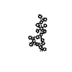 Cn1c2ccccc2c2c3c4ccccc4n4c5cc6c7cc8c(c9ccccc9n8Cc8ccc9c(c8)c8cc%10c(cc8n9-c8ccccc8)c8cccc9c%11c(-c%12ccccc%12)c%12c(c(-c%13ccccc%13)c%11n%10c89)c8cccc9c%10cc%11c(cc%10n%12c98)c8ccccc8n%11-c8ccccc8)c8c9ccccc9n(c6cc5c(cc21)c34)c78